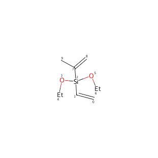 C=C[Si](OCC)(OCC)C(=C)C